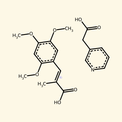 COc1cc(OC)c(OC)cc1/C=C(\C)C(=O)O.O=C(O)Cc1cccnc1